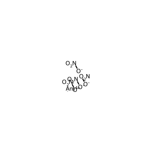 O=[N+]([O-])[O-].O=[N+]([O-])[O-].O=[N+]([O-])[O-].O=[N+]([O-])[O-].[Am+4]